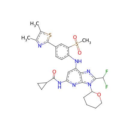 Cc1nc(-c2ccc(Nc3cc(NC(=O)C4CC4)nc4c3nc(C(F)F)n4C3CCCCO3)c(S(C)(=O)=O)c2)sc1C